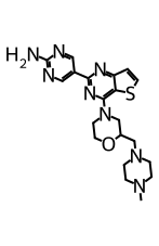 CN1CCN(CC2CN(c3nc(-c4cnc(N)nc4)nc4ccsc34)CCO2)CC1